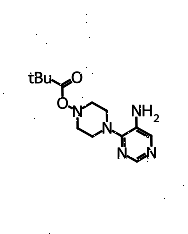 CC(C)(C)C(=O)ON1CCN(c2ncncc2N)CC1